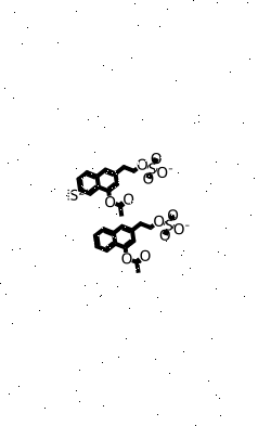 CC(=O)Oc1cc(CCOS(=O)(=O)[O-])cc2ccccc12.CC(=O)Oc1cc(CCOS(=O)(=O)[O-])cc2ccccc12.[S+2]